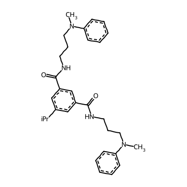 CC(C)c1cc(C(=O)NCCCN(C)c2ccccc2)cc(C(=O)NCCCN(C)c2ccccc2)c1